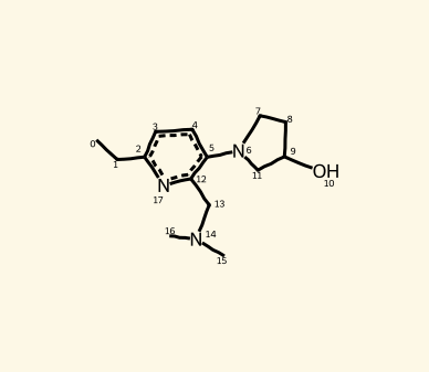 CCc1ccc(N2CCC(O)C2)c(CN(C)C)n1